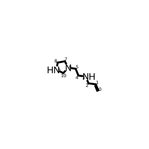 C=CCNCCN1CCNC1